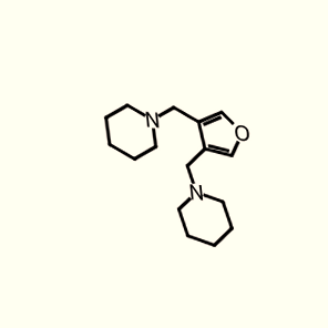 c1occ(CN2CCCCC2)c1CN1CCCCC1